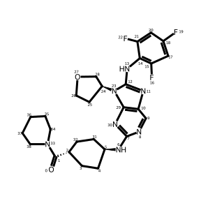 O=C([C@H]1CC[C@H](Nc2ncc3nc(Nc4c(F)cc(F)cc4F)n([C@H]4CCOC4)c3n2)CC1)N1CCCCC1